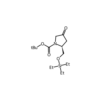 CC[Si](CC)(CC)OC[C@@H]1CC(=O)CN1C(=O)OC(C)(C)C